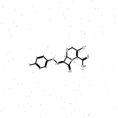 Cc1ccc(SN=C2C(=O)N3C(C(=O)O)=C(Cl)CSC23)cc1